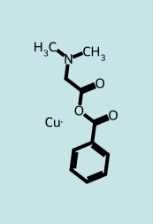 CN(C)CC(=O)OC(=O)c1ccccc1.[Cu]